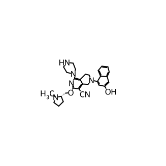 CN1CCC[C@H]1COc1nc(N2CCNCC2)c2c(c1C#N)CN(c1cc(O)cc3ccccc13)CC2